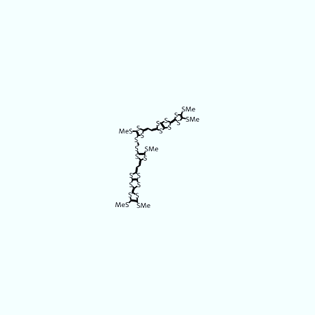 CSC1=C(SCSC2=C(SC)SC(=CC=C3SC4=C(S3)SC(=C3SC(SC)=C(SC)S3)S4)S2)SC(=CC=C2SC3=C(S2)SC(=C2SC(SC)=C(SC)S2)S3)S1